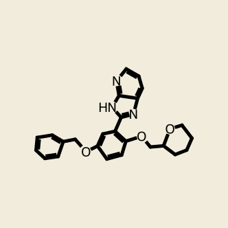 c1ccc(COc2ccc(OCC3CCCCO3)c(-c3nc4cccnc4[nH]3)c2)cc1